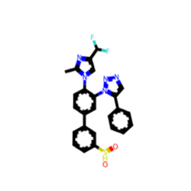 Cc1nc(C(F)F)cn1-c1ccc(-c2cccc([SH](=O)=O)c2)cc1-n1nncc1-c1ccccc1